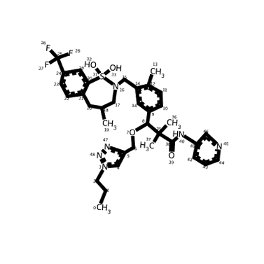 CCCn1cc(COC(c2ccc(C)c(CN3CC(C)Cc4ccc(C(F)(F)F)cc4S3(O)O)c2)C(C)(C)C(=O)Nc2cccnc2)nn1